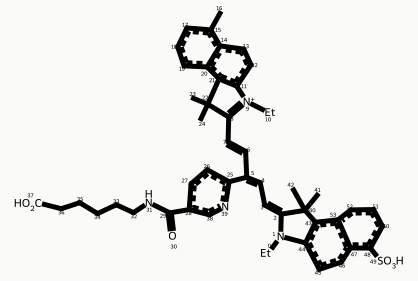 CCN1/C(=C/C=C(/C=C/C2=[N+](CC)c3ccc4c(C)cccc4c3C2(C)C)c2ccc(C(=O)NCCCCCC(=O)O)cn2)C(C)(C)c2c1ccc1c(S(=O)(=O)O)cccc21